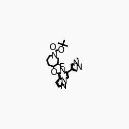 Cn1cc(-c2cn3nccc3c(O[C@H]3CCCN(C(=O)OC(C)(C)C)C[C@H]3F)n2)cn1